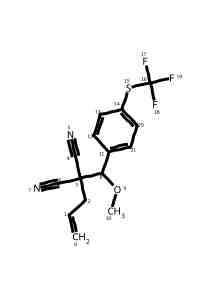 C=CCC(C#N)(C#N)C(OC)c1ccc(SC(F)(F)F)cc1